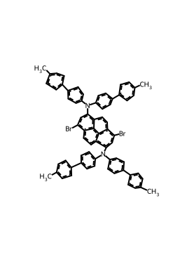 Cc1ccc(-c2ccc(N(c3ccc(-c4ccc(C)cc4)cc3)c3cc(Br)c4ccc5c(N(c6ccc(-c7ccc(C)cc7)cc6)c6ccc(-c7ccc(C)cc7)cc6)cc(Br)c6ccc3c4c65)cc2)cc1